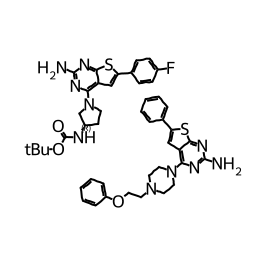 CC(C)(C)OC(=O)N[C@@H]1CCN(c2nc(N)nc3sc(-c4ccc(F)cc4)cc23)C1.Nc1nc(N2CCN(CCOc3ccccc3)CC2)c2cc(-c3ccccc3)sc2n1